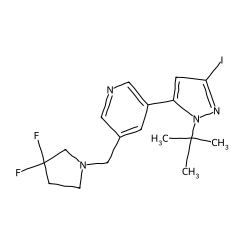 CC(C)(C)n1nc(I)cc1-c1cncc(CN2CCC(F)(F)C2)c1